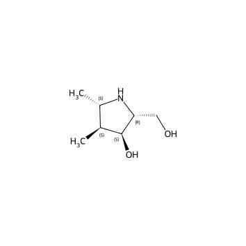 C[C@@H]1[C@H](O)[C@@H](CO)N[C@H]1C